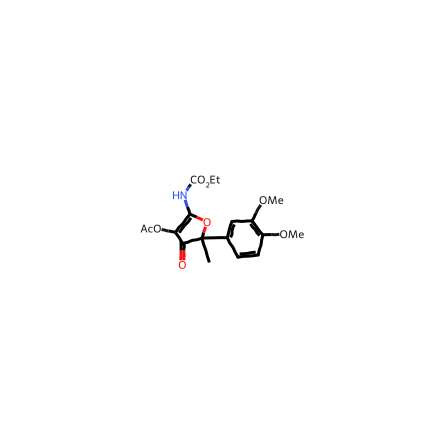 CCOC(=O)NC1=C(OC(C)=O)C(=O)C(C)(c2ccc(OC)c(OC)c2)O1